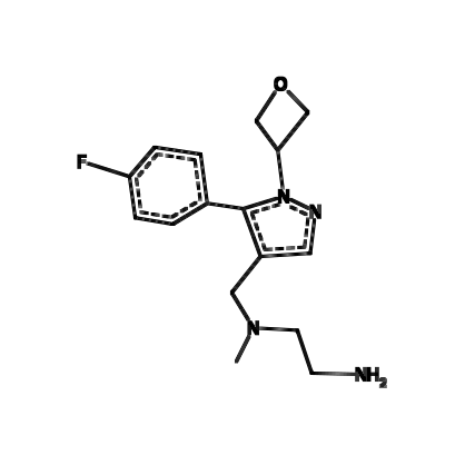 CN(CCN)Cc1cnn(C2COC2)c1-c1ccc(F)cc1